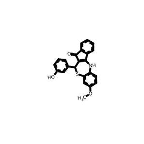 COc1ccc2c(c1)SC(c1cccc(O)c1)C1=C(N2)c2ccccc2C1=O